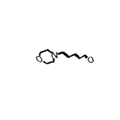 O=C/C=C/C=C/N1CCOCC1